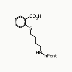 CCCCCNCCCCSc1ccccc1C(=O)O